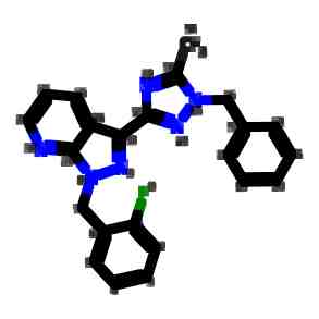 Fc1ccccc1Cn1nc(-c2nc(C(F)(F)F)n(Cc3ccccc3)n2)c2cccnc21